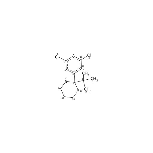 CC(C)(C)C1(c2cc(Cl)cc(Cl)c2)SCCCS1